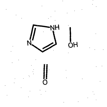 C=O.CO.c1c[nH]cn1